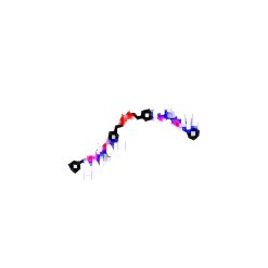 O=C(NCc1ccccc1)Nc1nc(C(=O)Nc2ccc(CCC(=O)OC(=O)CCc3ccc(NC(=O)c4csc(NC(=O)NCc5ccccc5)n4)cc3)cc2)cs1